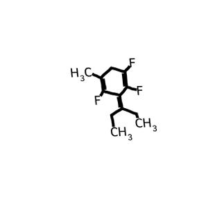 CCC(CC)=C1C(F)=C(C)CC(F)=C1F